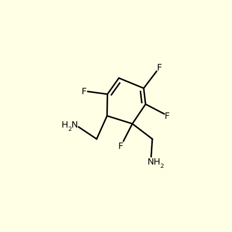 NCC1C(F)=CC(F)=C(F)C1(F)CN